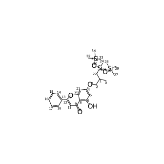 CC(COc1cc(O)c2c(=O)cc(-c3ccccc3)oc2c1)C[Si](C)(O[Si](C)(C)C)O[Si](C)(C)C